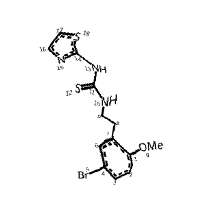 COc1ccc(Br)cc1CCNC(=S)Nc1nccs1